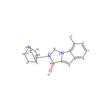 Cc1cccc2cc3n(c12)CN(C1CN2CCC1CC2)C3=O